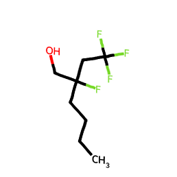 CCCCC(F)(CO)CC(F)(F)F